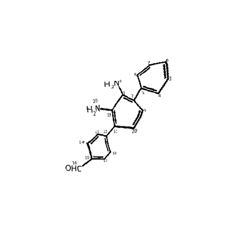 Nc1c(-c2ccccc2)ccc(-c2ccc(C=O)cc2)c1N